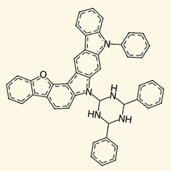 c1ccc(C2NC(c3ccccc3)NC(n3c4cc5c(cc4c4c6oc7ccccc7c6ccc43)c3ccccc3n5-c3ccccc3)N2)cc1